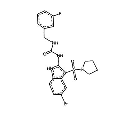 O=C(NCc1cccc(F)c1)Nc1[nH]c2ccc(Br)cc2c1S(=O)(=O)N1CCCC1